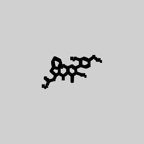 COc1ccc(-c2nc(C)c(NC3c4ccccc4CC3OC(C)=O)c(=O)n2C)c(C)c1